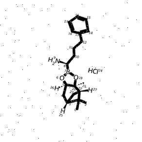 CC1(C)[C@@H]2C[C@H]3OB([C@@H](N)CCCc4ccccc4)O[C@@]3(C)[C@H]1C2.Cl